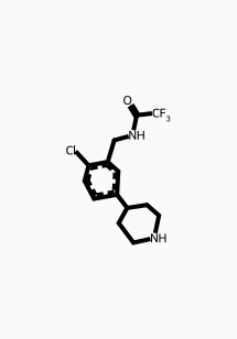 O=C(NCc1cc(C2CCNCC2)ccc1Cl)C(F)(F)F